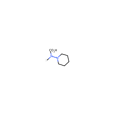 [C]N(C(=O)O)N1CCCCC1